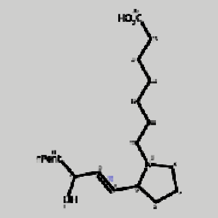 CCCCCC(O)/C=C/C1CCCN1CCCCCCC(=O)O